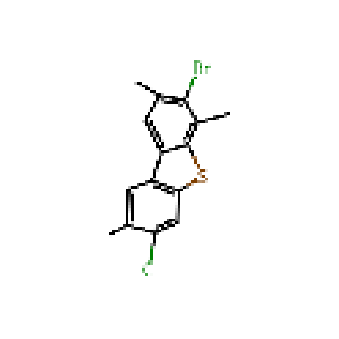 Cc1cc2c(cc1Cl)sc1c(C)c(Br)c(C)cc12